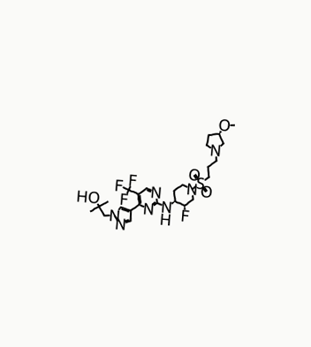 CO[C@@H]1CCN(CCCS(=O)(=O)N2CC[C@H](Nc3ncc(C(F)(F)F)c(-c4cnn(CC(C)(C)O)c4)n3)[C@H](F)C2)C1